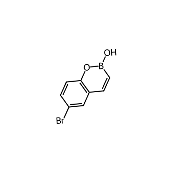 OB1C=Cc2cc(Br)ccc2O1